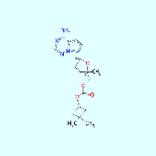 CC1(C)CC(OC(=O)OC[C@]2(C)CC[C@H](c3ccc4c(N)ncnn34)O2)C1